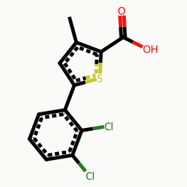 Cc1cc(-c2cccc(Cl)c2Cl)sc1C(=O)O